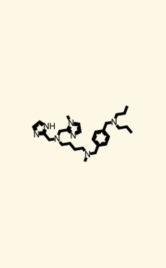 CCCN(CCC)Cc1ccc(CN(C)CCCCN(Cc2ncc[nH]2)Cc2nccn2C)cc1